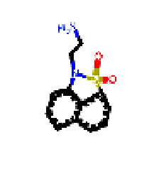 NCCN1c2cccc3cccc(c23)S1(=O)=O